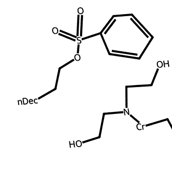 CCCCCCCCCCCCOS(=O)(=O)c1ccccc1.OCC[N](CCO)[Cr][CH2]O